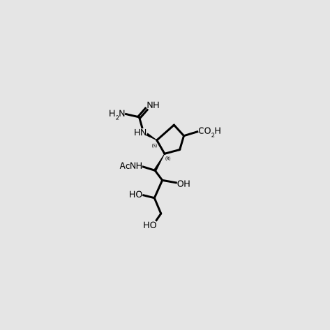 CC(=O)NC(C(O)C(O)CO)[C@@H]1CC(C(=O)O)C[C@@H]1NC(=N)N